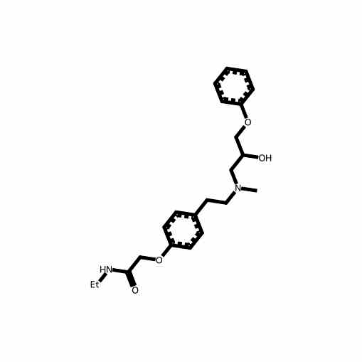 CCNC(=O)COc1ccc(CCN(C)CC(O)COc2ccccc2)cc1